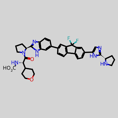 O=C(O)N[C@H](C(=O)N1CCC[C@H]1c1nc2ccc(-c3ccc4c(c3)C(F)(F)c3cc(-c5cnc([C@@H]6CCCN6)[nH]5)ccc3-4)cc2[nH]1)C1CCOCC1